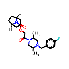 CC1CN(C(=O)COCN2[C@@H]3CC[C@@H]2CC(=O)C3)C(C)CN1Cc1ccc(F)cc1